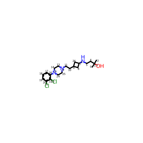 CC(C)(O)CCNC1CC(CCN2CCN(c3cccc(Cl)c3Cl)CC2)C1